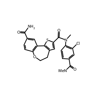 CNC(=O)c1ccc(N(C)C(=O)c2cc3c(s2)-c2cc(C(N)=O)ccc2OCC3)c(Cl)c1